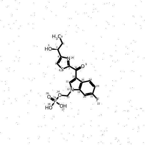 CC[C@H](O)c1csc(C(=O)c2cn(COP(=O)(O)O)c3cc(F)ccc23)n1